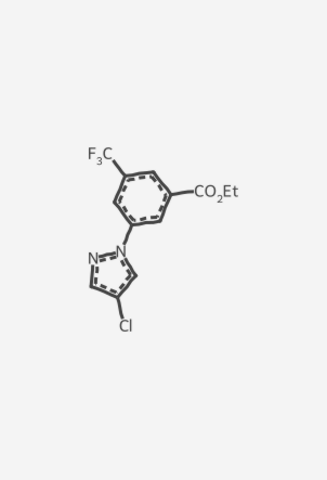 CCOC(=O)c1cc(-n2cc(Cl)cn2)cc(C(F)(F)F)c1